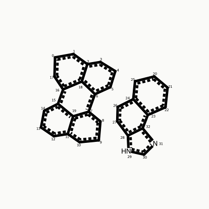 c1cc2cccc3c4cccc5cccc(c(c1)c23)c54.c1ccc2c(c1)ccc1[nH]cnc12